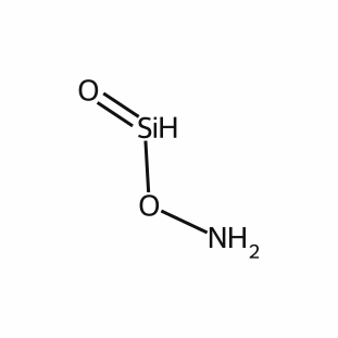 NO[SiH]=O